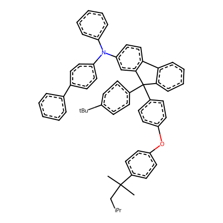 CC(C)CC(C)(C)c1ccc(Oc2ccc(C3(c4ccc(C(C)(C)C)cc4)c4ccccc4-c4ccc(N(c5ccccc5)c5ccc(-c6ccccc6)cc5)cc43)cc2)cc1